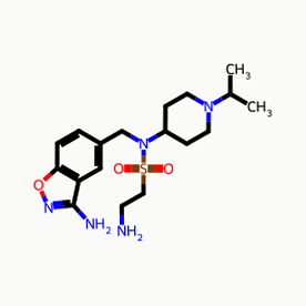 CC(C)N1CCC(N(Cc2ccc3onc(N)c3c2)S(=O)(=O)CCN)CC1